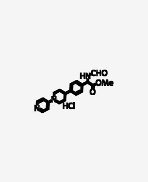 COC(=O)C(NC=O)c1ccc(C2CCN(c3ccncc3)CC2)cc1.Cl